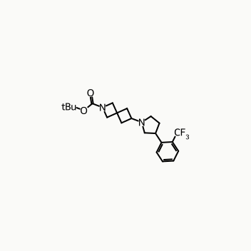 CC(C)(C)OC(=O)N1CC2(CC(N3CCC(c4ccccc4C(F)(F)F)C3)C2)C1